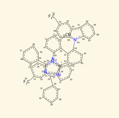 N#Cc1cccc(-n2c3ccccc3c3cc(C(F)(F)F)ccc32)c1-c1c(-c2nc(-c3ccccc3)nc(-c3ccccc3)n2)cccc1-n1c2ccccc2c2cc(C(F)(F)F)ccc21